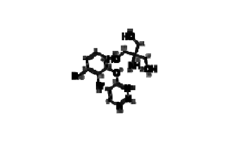 Brc1cccc(Oc2ccnnn2)c1Br.NC(CO)(CO)CO